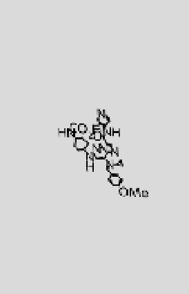 COc1ccc(CN(c2cc(NC3CCC(NC(=O)O)CC3)nn3c(C(=O)Nc4ccncc4F)cnc23)C2CC2)cc1